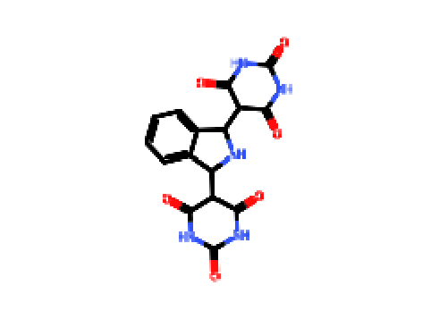 O=C1NC(=O)C(C2NC(C3C(=O)NC(=O)NC3=O)c3ccccc32)C(=O)N1